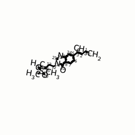 C=C/C=C(\C)c1ccc2c(=O)n(CCC(C)(C)S(C)(=O)=O)cnc2c1